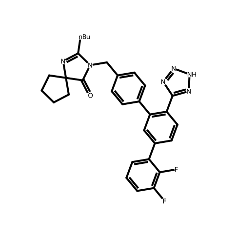 CCCCC1=NC2(CCCC2)C(=O)N1Cc1ccc(-c2cc(-c3cccc(F)c3F)ccc2-c2nn[nH]n2)cc1